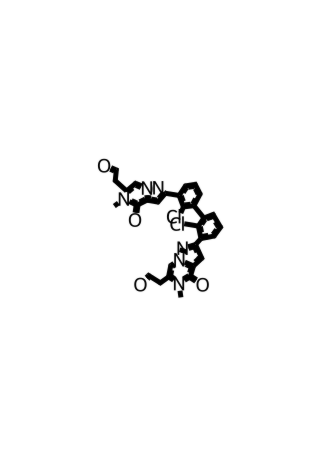 Cn1c(CC=O)cn2nc(-c3cccc(-c4cccc(-c5cc6c(=O)n(C)c(CC=O)cn6n5)c4Cl)c3Cl)cc2c1=O